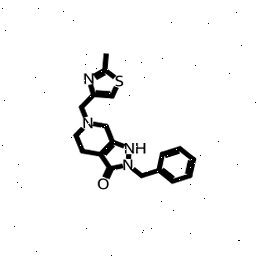 Cc1nc(CN2CCc3c([nH]n(Cc4ccccc4)c3=O)C2)cs1